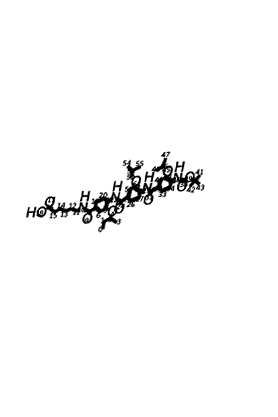 CCC(C)Oc1cc(C(=O)NCCCCCC(=O)O)ccc1NC(=O)c1ccc(NC(=O)c2ccc(NC(=O)OC(C)(C)C)c(OC(C)C)c2)c(OCC(C)C)c1